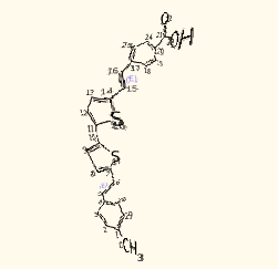 Cc1ccc(/C=C/c2ccc(-c3ccc(/C=C/c4ccc(C(=O)O)cc4)s3)s2)cc1